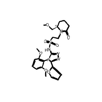 COC[C@H]1CCCC(=O)N1CCS(=O)(=O)Nc1nnc(-c2ccco2)n1-c1c(OC)cccc1OC